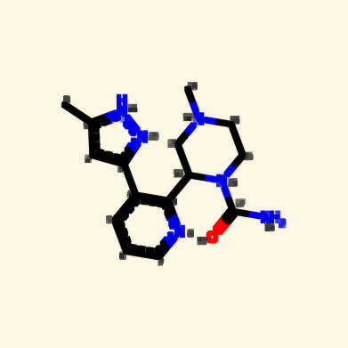 Cc1cc(-c2cccnc2C2CN(C)CCN2C(N)=O)n[nH]1